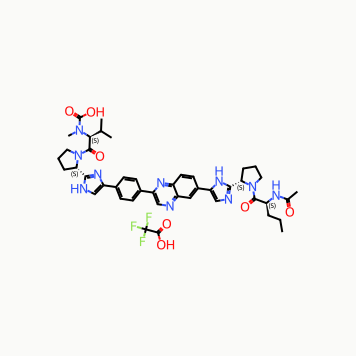 CCC[C@H](NC(C)=O)C(=O)N1CCC[C@H]1c1ncc(-c2ccc3nc(-c4ccc(-c5c[nH]c([C@@H]6CCCN6C(=O)[C@H](C(C)C)N(C)C(=O)O)n5)cc4)cnc3c2)[nH]1.O=C(O)C(F)(F)F